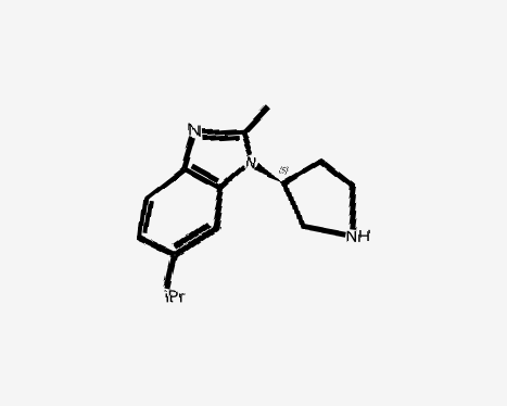 Cc1nc2ccc(C(C)C)cc2n1[C@H]1CCNC1